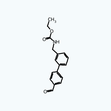 CCOC(=O)NCc1cccc(-c2ccc(C=O)cc2)c1